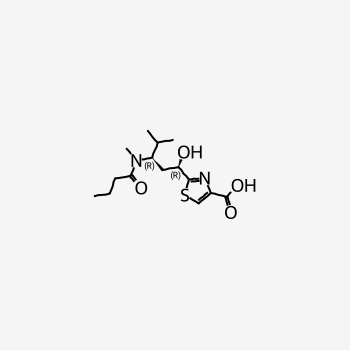 CCCC(=O)N(C)[C@H](C[C@@H](O)c1nc(C(=O)O)cs1)C(C)C